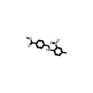 COC(=O)c1ccc(CNc2ccc(C)cc2[N+](=O)[O-])cc1